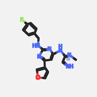 C/N=C(\C=N)Nc1cc(-c2ccoc2)nc(NCc2ccc(F)cc2)n1